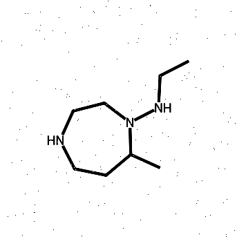 CCNN1CCNCCC1C